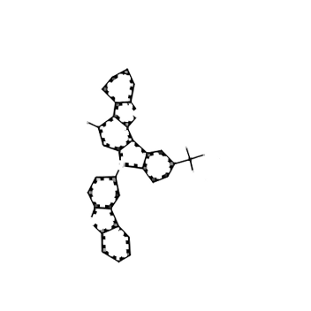 CC(C)(C)c1ccc2c(c1)c1c3sc4ccccc4c3c(Cl)cc1n2-c1ccc2sc3ccccc3c2c1